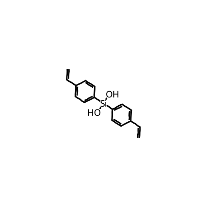 C=Cc1ccc([Si](O)(O)c2ccc(C=C)cc2)cc1